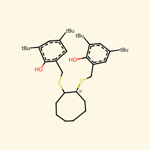 CC(C)(C)c1cc(CSC2CCCCCC[C@@H]2SCc2cc(C(C)(C)C)cc(C(C)(C)C)c2O)c(O)c(C(C)(C)C)c1